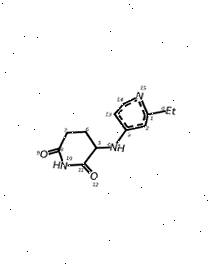 CCc1cc(NC2CCC(=O)NC2=O)ccn1